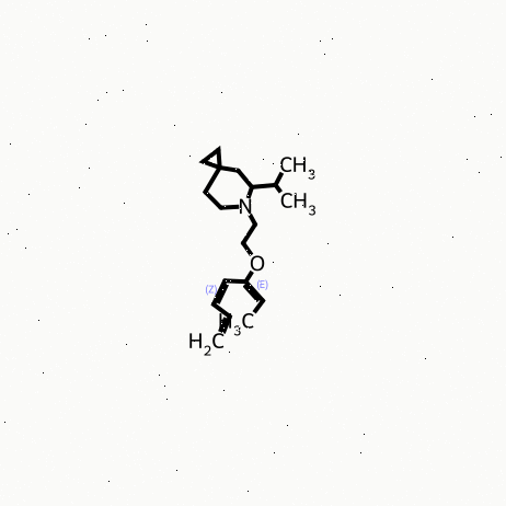 C=C/C=C\C(=C/C)OCCN1CCC2(CC2)CC1C(C)C